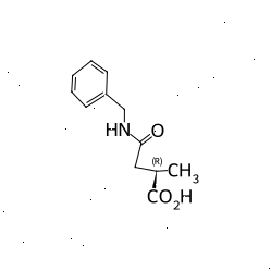 C[C@H](CC(=O)NCc1ccccc1)C(=O)O